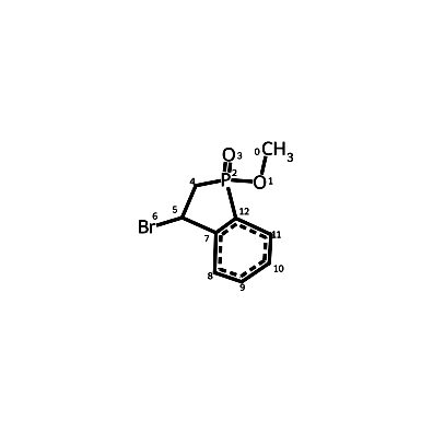 COP1(=O)CC(Br)c2ccccc21